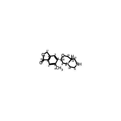 Cc1cc2c(cc1[C@H]1CN3CCNC[C@H]3CO1)COC2=O